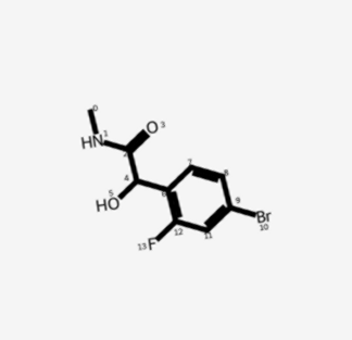 CNC(=O)C(O)c1ccc(Br)cc1F